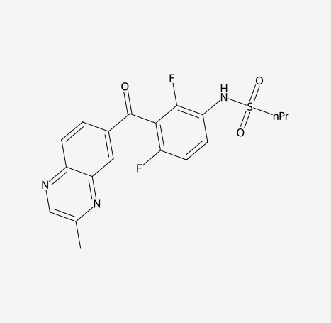 CCCS(=O)(=O)Nc1ccc(F)c(C(=O)c2ccc3ncc(C)nc3c2)c1F